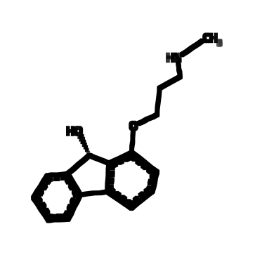 CNCCCOc1cccc2c1[C@@H](O)c1ccccc1-2